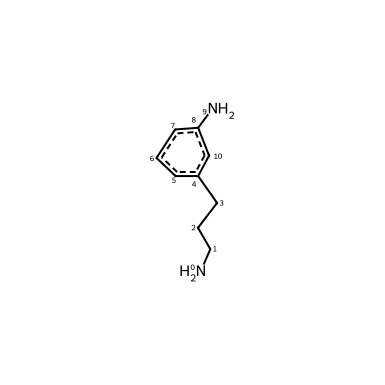 NCCCc1cccc(N)c1